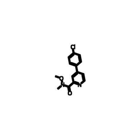 CON(C)C(=O)c1cc(-c2ccc(Cl)cc2)ccn1